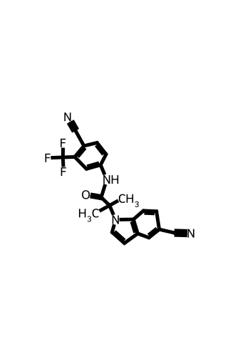 CC(C)(C(=O)Nc1ccc(C#N)c(C(F)(F)F)c1)n1ccc2cc(C#N)ccc21